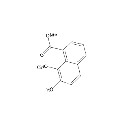 COC(=O)c1cccc2ccc(O)c(C=O)c12